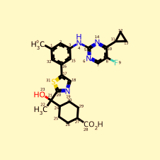 Cc1cc(Nc2ncc(F)c(C3CC3)n2)cc(-c2cnc(C(C)(O)C3CCC(C(=O)O)CC3)s2)c1